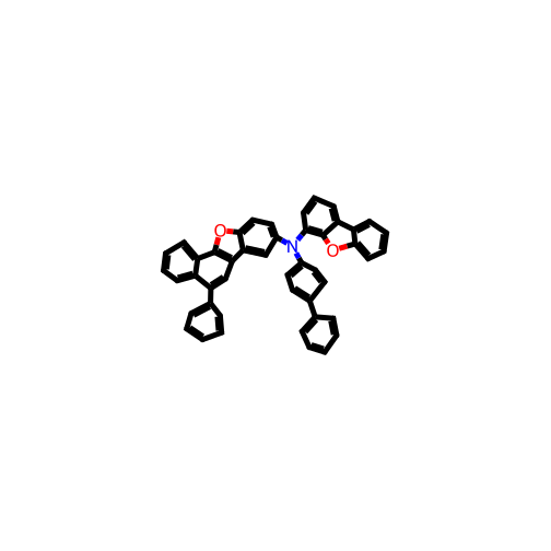 c1ccc(-c2ccc(N(c3ccc4oc5c6ccccc6c(-c6ccccc6)cc5c4c3)c3cccc4c3oc3ccccc34)cc2)cc1